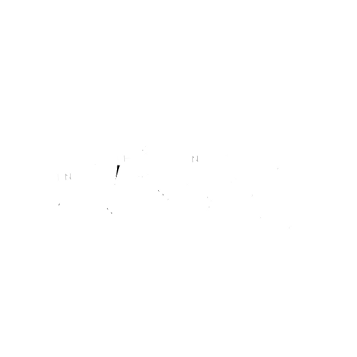 C[C@]12CNCCN1CCN(c1ncc(C3CCCCC3)s1)C2=O